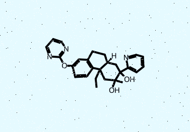 CCC12CC(C)(O)C(O)(c3ccccn3)C[C@H]1CCc1cc(Oc3ncccn3)ccc12